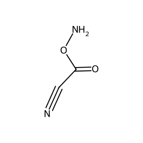 N#CC(=O)ON